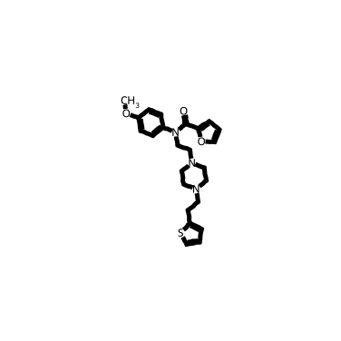 COc1ccc(N(CCN2CCN(CCc3cccs3)CC2)C(=O)c2ccco2)cc1